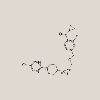 O=C(c1ccc(COC[C@@H]2C[C@@H]2C2CCN(c3ncc(Cl)cn3)CC2)cc1F)C1CC1